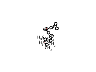 Cc1cc(C)c(B(c2cccc(-c3cccc(-c4ccc(C56CC7CC(C5)CC(c5ccc(-p8c9ccccc9c9ccccc98)cc5)(C7)C6)cc4)n3)c2)c2c(C)cc(C)cc2C)c(C)c1